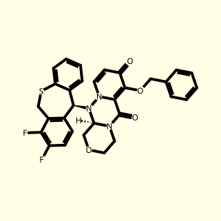 O=C1c2c(OCc3ccccc3)c(=O)ccn2N([C@@H]2c3ccccc3SCc3c2ccc(F)c3F)[C@@H]2COCCN12